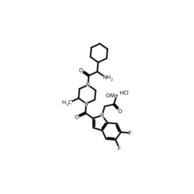 COC(=O)Cn1c(C(=O)N2CCN(C(=O)C(N)C3CCCCC3)CC2C)cc2cc(F)c(F)cc21.Cl